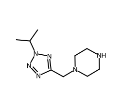 CC(C)n1nnc(CN2CCNCC2)n1